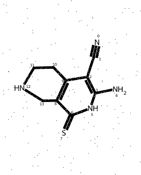 N#Cc1c(N)[nH]c(=S)c2c1CCNC2